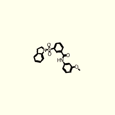 COc1cccc(NC(=O)c2cccc(S(=O)(=O)N3CCc4ccccc43)c2)c1